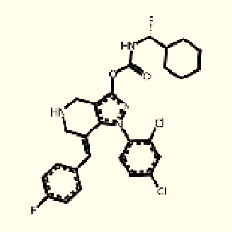 C[C@@H](NC(=O)Oc1nn(-c2ccc(Cl)cc2Cl)c2c1CNC/C2=C\c1ccc(F)cc1)C1CCCCC1